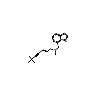 CN(CC=CC#CC(C)(C)C)Cc1cccc2ccsc12